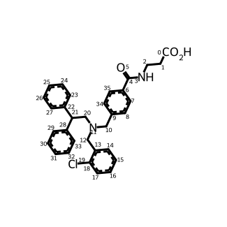 O=C(O)CCNC(=O)c1ccc(CN(Cc2ccccc2Cl)CC(c2ccccc2)c2ccccc2)cc1